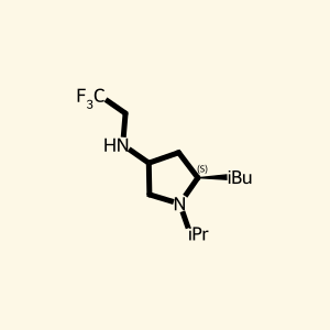 CCC(C)[C@@H]1CC(NCC(F)(F)F)CN1C(C)C